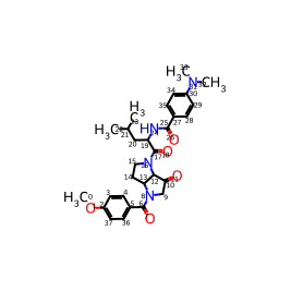 COc1ccc(C(=O)N2CC(=O)C3C2CCN3C(=O)C(CC(C)C)NC(=O)c2ccc(N(C)C)cc2)cc1